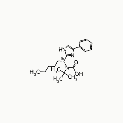 CCCCC[C@H](c1nc(-c2ccccc2)c[nH]1)N(C(=O)O)C(C)(C)C